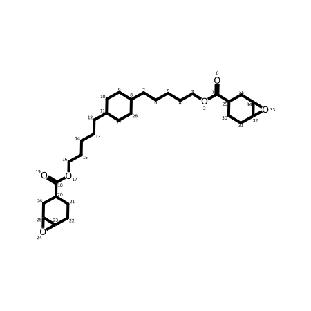 O=C(OCCCCCC1CCC(CCCCCOC(=O)C2CCC3OC3C2)CC1)C1CCC2OC2C1